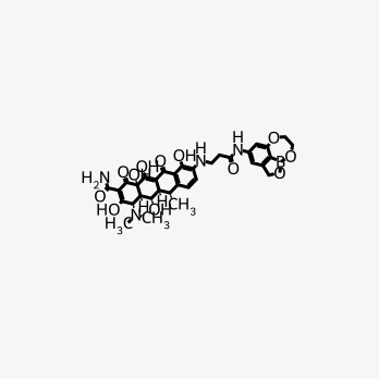 C[C@H]1c2ccc(NCCC(=O)Nc3cc4c5c(c3)OCCOB5OC4)c(O)c2C(=O)C2=C(O)[C@]3(O)C(=O)C(C(N)=O)=C(O)[C@@H](N(C)C)[C@@H]3[C@@H](O)[C@@H]21